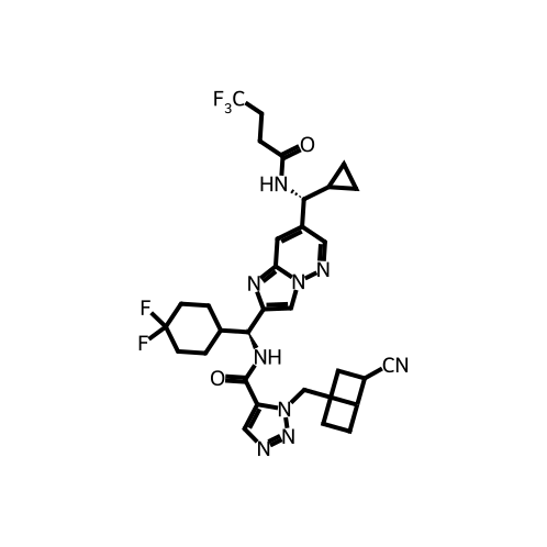 N#CC1CC2(Cn3nncc3C(=O)N[C@H](c3cn4ncc([C@H](NC(=O)CCC(F)(F)F)C5CC5)cc4n3)C3CCC(F)(F)CC3)CCC12